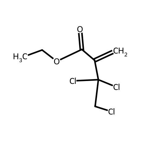 C=C(C(=O)OCC)C(Cl)(Cl)CCl